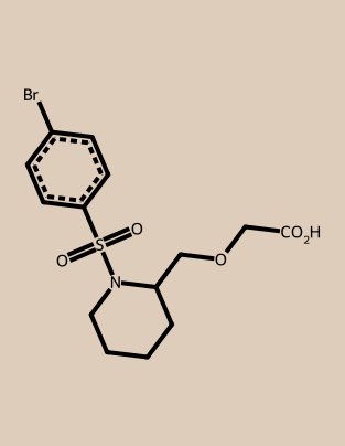 O=C(O)COCC1CCCCN1S(=O)(=O)c1ccc(Br)cc1